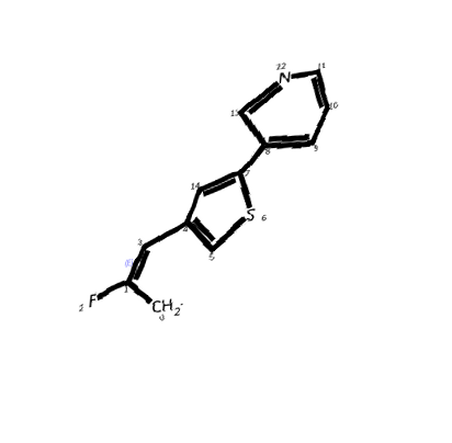 [CH2]/C(F)=C\c1csc(-c2cccnc2)c1